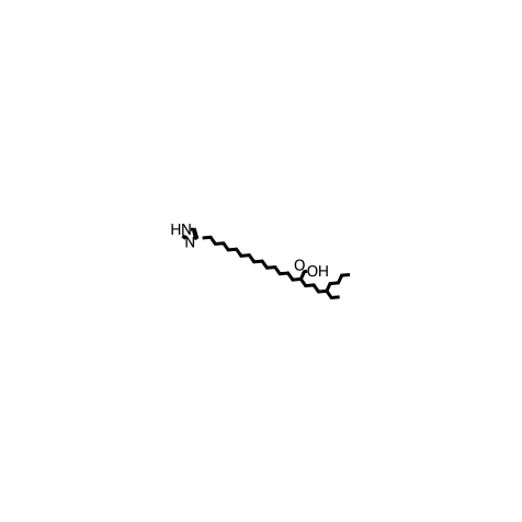 CCCCCCCCCCCCCCCC(CCCC(CC)CCCC)C(=O)O.c1c[nH]cn1